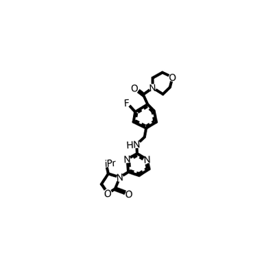 CC(C)C1COC(=O)N1c1ccnc(NCc2ccc(C(=O)N3CCOCC3)c(F)c2)n1